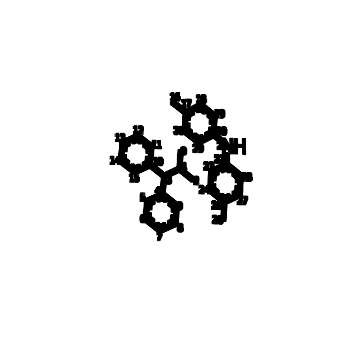 CC(C)C(c1ccccc1)c1ccccc1.Cc1ccc(Nc2ccc(C)cc2)cc1